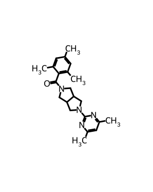 Cc1cc(C)c(C(=O)N2CC3CN(c4nc(C)cc(C)n4)CC3C2)c(C)c1